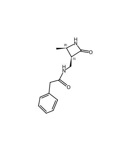 C[C@H]1NC(=O)[C@H]1CNC(=O)Cc1ccccc1